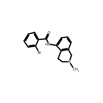 CN1CCc2c(cccc2NC(=O)c2ccccc2Br)C1